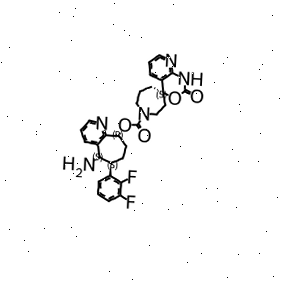 N[C@@H]1c2cccnc2[C@H](OC(=O)N2CCC[C@@]3(CC2)OC(=O)Nc2ncccc23)CC[C@H]1c1cccc(F)c1F